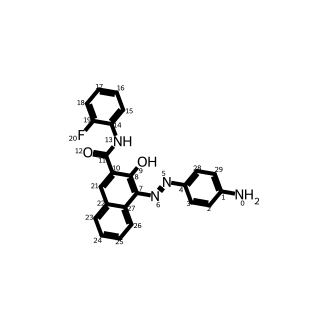 Nc1ccc(N=Nc2c(O)c(C(=O)Nc3ccccc3F)cc3ccccc23)cc1